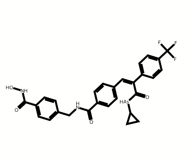 O=C([AsH]C1CC1)C(=Cc1ccc(C(=O)NCc2ccc(C(=O)NO)cc2)cc1)c1ccc(C(F)(F)F)cc1